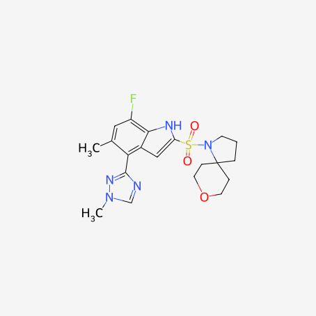 Cc1cc(F)c2[nH]c(S(=O)(=O)N3CCCC34CCOCC4)cc2c1-c1ncn(C)n1